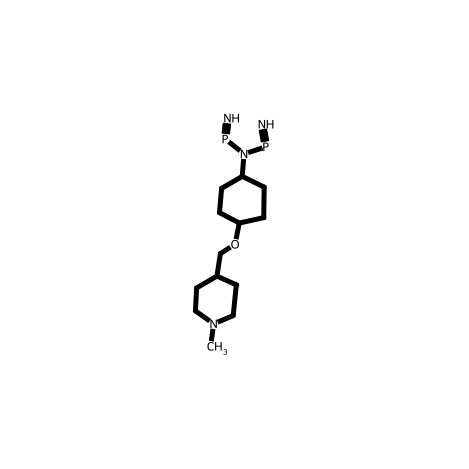 CN1CCC(COC2CCC(N(P=N)P=N)CC2)CC1